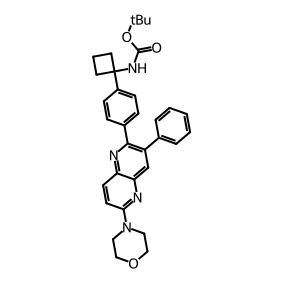 CC(C)(C)OC(=O)NC1(c2ccc(-c3nc4ccc(N5CCOCC5)nc4cc3-c3ccccc3)cc2)CCC1